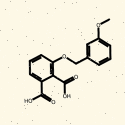 COc1cccc(COc2cccc(C(=O)O)c2C(=O)O)c1